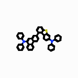 C1=CCCC(N(c2ccccc2)c2ccc3c(c2)sc2cccc(-c4ccc5c(c4)cc(N(c4ccccc4)c4ccccc4)c4ccccc45)c23)=C1